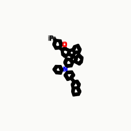 CC(C)c1ccc2c(c1)oc1c3c(ccc12)C(c1ccccc1)(c1ccc(N(c2ccccc2)c2ccc(-c4ccc5ccccc5c4)cc2)cc1)c1ccccc1-3